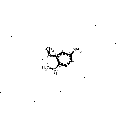 C=Nc1cc(N)ccc1NC